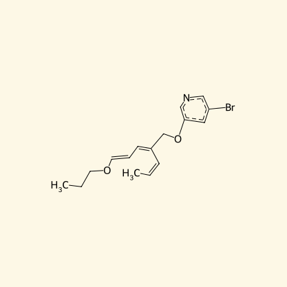 C\C=C/C(=C\C=C\OCCC)COc1cncc(Br)c1